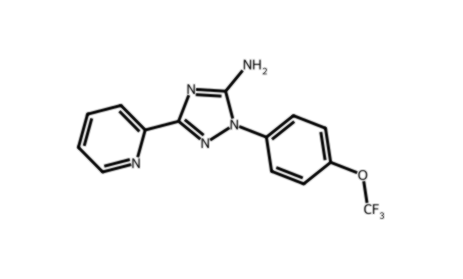 Nc1nc(-c2ccccn2)nn1-c1ccc(OC(F)(F)F)cc1